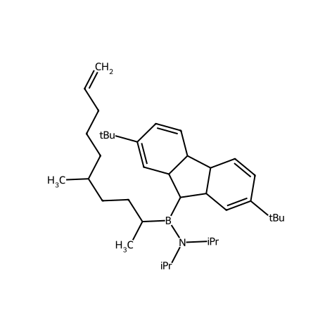 C=CCCCC(C)CCC(C)B(C1C2C=C(C(C)(C)C)C=CC2C2C=CC(C(C)(C)C)=CC21)N(C(C)C)C(C)C